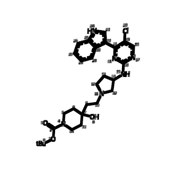 CC(C)(C)OC(=O)N1CCC(O)(CCN2CCC(Nc3ncc(Cl)c(-c4c[nH]c5ccccc45)n3)C2)CC1